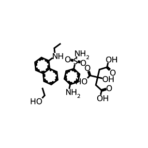 CCNc1cccc2ccccc12.CCO.Nc1ccc(S(N)(=O)=O)cc1.O=C(O)CC(O)(CC(=O)O)C(=O)O